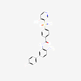 N=S(=O)(c1ccc(C(=O)Nc2cc(-c3ccc(F)cc3)ccc2N)cc1)c1cnccc1O